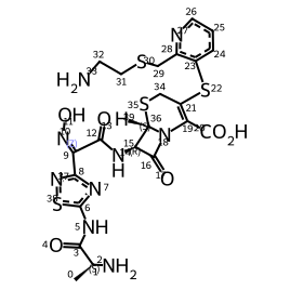 C[C@H](N)C(=O)Nc1nc(/C(=N/O)C(=O)N[C@@H]2C(=O)N3C(C(=O)O)=C(Sc4cccnc4CSCCN)CS[C@@H]23)ns1